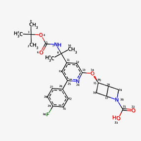 CC(C)(C)OC(=O)NC(C)(C)c1cc(O[C@@H]2CC3C2CN3C(=O)O)nc(-c2ccc(F)cc2)c1